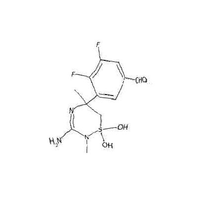 CN1C(N)=NC(C)(c2cc(C=O)cc(F)c2F)CS1(O)O